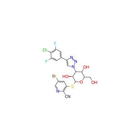 N#Cc1ncc(Br)cc1SC1OC(CO)C(O)C(n2cc(-c3cc(F)c(Cl)c(F)c3)nn2)[C@@H]1O